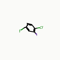 Fc1ccc(Cl)c(I)c1